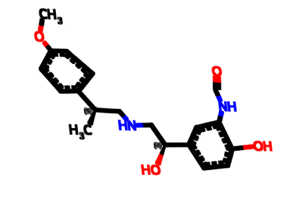 COc1ccc([C@H](C)CNC[C@H](O)c2ccc(O)c(NC=O)c2)cc1